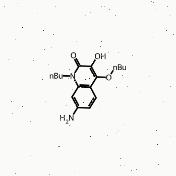 CCCCOc1c(O)c(=O)n(CCCC)c2cc(N)ccc12